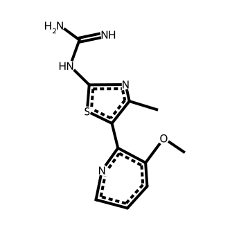 COc1cccnc1-c1sc(NC(=N)N)nc1C